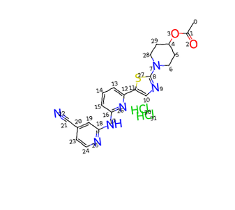 CC(=O)OC1CCN(c2ncc(-c3cccc(Nc4cc(C#N)ccn4)n3)s2)CC1.Cl.Cl